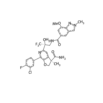 COc1cc(C(=O)NC[C@](O)(c2cc3c(c(-c4ccc(F)c(Cl)c4)n2)OC[C@]3(C)C(N)=O)C(F)(F)F)cc2cn(C)nc12